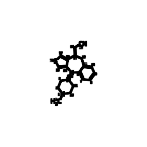 CN1CCN(N2c3ccccc3CC(=CC#N)c3cscc32)CC1